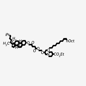 CCCCCCCC/C=C\CCCCCCCCOCC(CN1CCC(C(=O)OCC)CC1)OCCOC(=O)CCC(=O)CO[C@H]1CC[C@@]2(C)C(=CC[C@H]3[C@@H]4CC[C@H]([C@H](C)CCCC(C)C)[C@@]4(C)CC[C@@H]32)C1